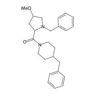 COC1CC(C(=O)N2CCC(Cc3ccccc3)CC2)N(Cc2ccccc2)C1